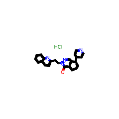 Cl.O=c1c2cccc(-c3ccncc3)c2cnn1CCc1ccc2ccccc2n1